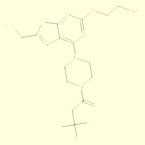 CCc1cc2c(N3CCN(C(=O)CC(F)(F)F)CC3)nc(NCCN)nc2s1